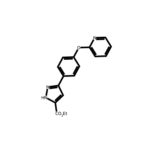 CCOC(=O)c1cc(-c2ccc(Oc3ccccn3)cc2)n[nH]1